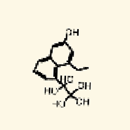 CCc1cc(O)cc2cccc(C(O)(O)C(O)(O)O)c12